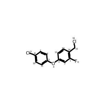 Fc1cc(Oc2ccc(Cl)cc2)ccc1CCl